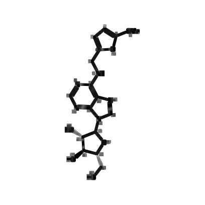 COc1ccc(CNc2ncnc3c2ncn3C2O[C@H](CO)[C@@H](O)[C@@H]2O)o1